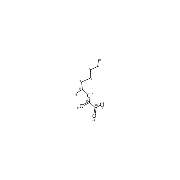 CCCCCC(C)OC(=O)C(=O)Cl